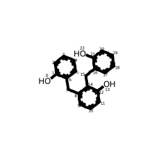 Oc1ccccc1Cc1[c]ccc(O)c1Cc1ccccc1O